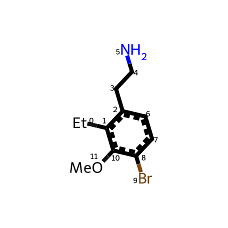 CCc1c(CCN)ccc(Br)c1OC